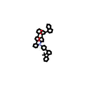 CC1(C)c2ccccc2-c2cccc(-c3ccc(N(c4ccc(-c5cccc(-c6cccc7ccccc67)c5)cc4)c4ccccc4-c4ccc(-c5ccccc5)cc4)cc3)c21